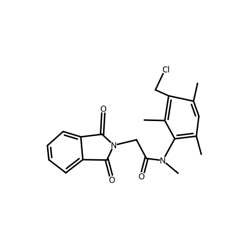 Cc1cc(C)c(N(C)C(=O)CN2C(=O)c3ccccc3C2=O)c(C)c1CCl